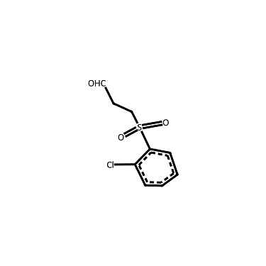 O=CCCS(=O)(=O)c1ccccc1Cl